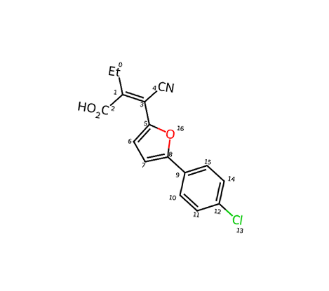 CCC(C(=O)O)=C(C#N)c1ccc(-c2ccc(Cl)cc2)o1